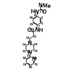 CNC(=O)Nc1ccc(NC(=O)CCN2CCN(c3ccccn3)CC2)cc1